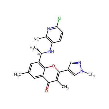 Cc1cc([C@@H](C)Nc2ccc(Cl)nc2C#N)c2oc(-c3cnn(C(F)(F)F)c3)c(C)c(=O)c2c1